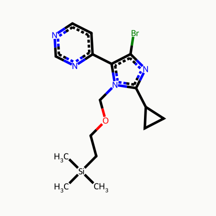 C[Si](C)(C)CCOCn1c(C2CC2)nc(Br)c1-c1ccncn1